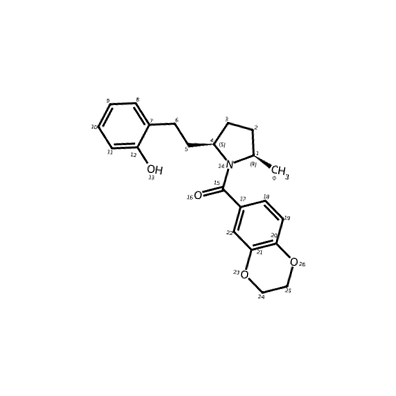 C[C@@H]1CC[C@H](CCc2ccccc2O)N1C(=O)c1ccc2c(c1)OCCO2